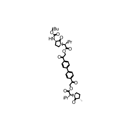 CC(C)[C@@H](C(=O)OCC(=O)c1ccc(-c2ccc(C(=O)COC(=O)[C@H](C(C)C)N3CC[C@H](C)C3=O)cc2)cc1)N1CC[C@H](NC(=O)OC(C)(C)C)C1=O